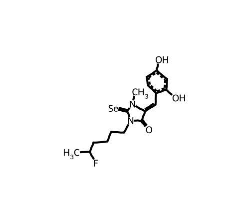 CC(F)CCCCN1C(=O)C(=Cc2ccc(O)cc2O)N(C)C1=[Se]